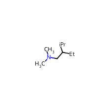 CCC(CN(C)C)C(C)C